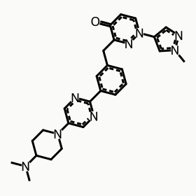 CN(C)C1CCN(c2cnc(-c3cccc(Cc4nn(-c5cnn(C)c5)ccc4=O)c3)nc2)CC1